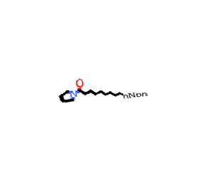 CCCCCCCCCCCCCCCCCC(=O)N1CCCC1